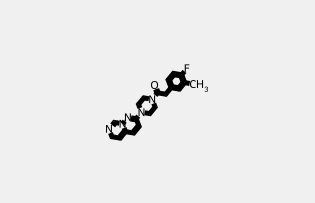 Cc1cc(CC(=O)N2CCN(C3=NN4C=NCC=C4C=C3)CC2)ccc1F